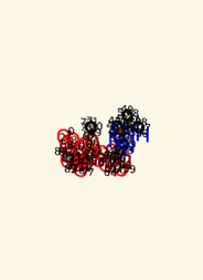 CC(=O)OCC1OC(OP(=O)(CP(=O)(OCc2ccccc2)OC[C@H]2O[C@@H](n3cnc4c(NC(c5ccccc5)(c5ccccc5)c5ccccc5)ncnc43)[C@H](OC(C)=O)[C@@H]2OC(C)=O)OCc2ccccc2)C(OC(C)=O)C(OC(C)=O)C1OC(C)=O